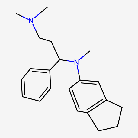 CN(C)CCC(c1ccccc1)N(C)c1ccc2c(c1)CCC2